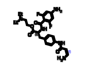 CCN(CC)CCOC(=O)[C@H](Cc1ccc(NC(=O)/C=C\N)cc1)NC(=O)c1c(F)cc(N)cc1F